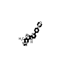 Cc1c(-c2[nH]c3ccc(C4CCC(N5CCOCC5)CC4)nc3c2C(C)C)cn2ncnc2c1C